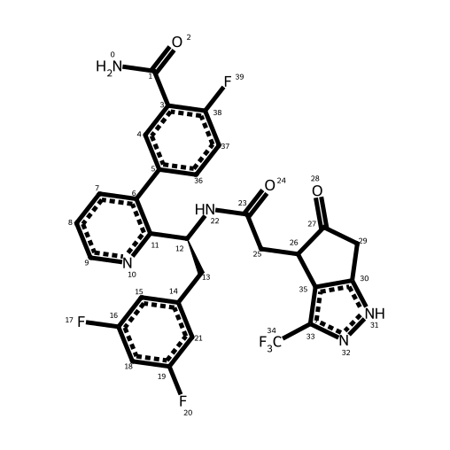 NC(=O)c1cc(-c2cccnc2[C@H](Cc2cc(F)cc(F)c2)NC(=O)CC2C(=O)Cc3[nH]nc(C(F)(F)F)c32)ccc1F